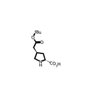 CC(C)(C)OC(=O)C[C@@H]1CN[C@@H](C(=O)O)C1